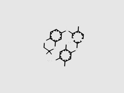 COc1cc(OC)c(Nc2ncc(F)c(Nc3ccc4c(c3)NC(C)(C)CO4)n2)cc1Cl